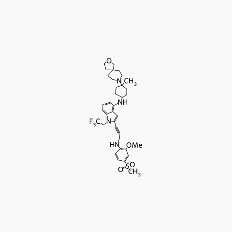 COc1cc(S(C)(=O)=O)ccc1NCC#Cc1cc2c(NC3CCC(C)(N4CCC5(CCOC5)CC4)CC3)cccc2n1CC(F)(F)F